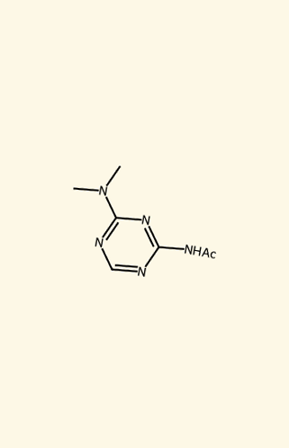 CC(=O)Nc1ncnc(N(C)C)n1